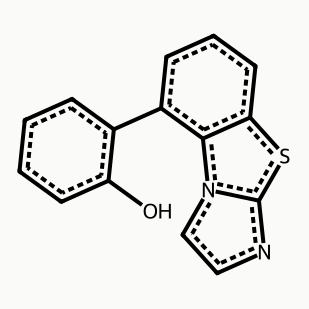 Oc1ccccc1-c1cccc2sc3nccn3c12